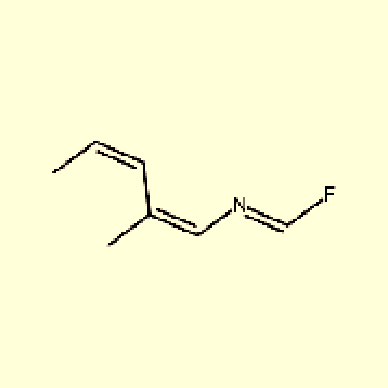 C\C=C/C(C)=C\N=C\F